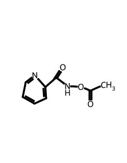 CC(=O)ONC(=O)c1ccccn1